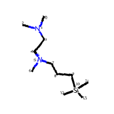 CN(C)CCN(C)CCC[Si](C)(C)C